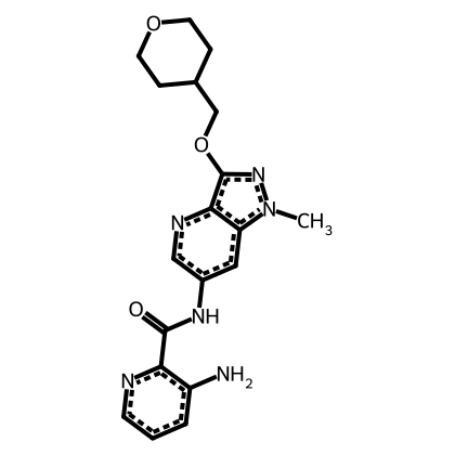 Cn1nc(OCC2CCOCC2)c2ncc(NC(=O)c3ncccc3N)cc21